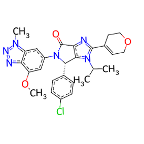 COc1cc(N2C(=O)c3nc(C4=CCOCC4)n(C(C)C)c3[C@@H]2c2ccc(Cl)cc2)cc2c1nnn2C